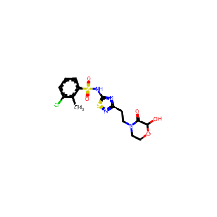 Cc1c(Cl)cccc1S(=O)(=O)Nc1nc(CCN2CCOC(O)C2=O)ns1